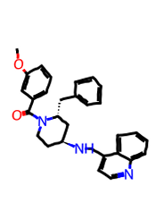 COc1cccc(C(=O)N2CC[C@H](NCc3ccnc4ccccc34)C[C@H]2Cc2ccccc2)c1